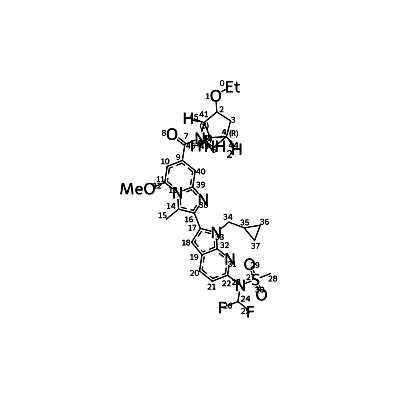 CCOC1C[C@@H]2CN(C(=O)c3cc(OC)n4c(C)c(-c5cc6ccc(N(C(F)F)S(C)(=O)=O)nc6n5CC5CC5)nc4c3)[C@H]1[C@@H]2N